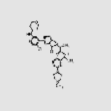 CC(NC(=O)C(C)N1Cc2ccc(-c3cc(NC4CCOCC4)ncc3Cl)cc2C1=O)c1cccc(N2CCN(C)CC2)n1